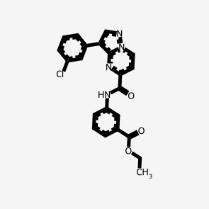 CCOC(=O)c1cccc(NC(=O)c2ccn3ncc(-c4cccc(Cl)c4)c3n2)c1